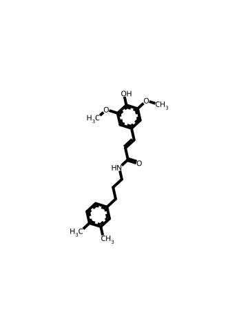 COc1cc(C=CC(=O)NCCCc2ccc(C)c(C)c2)cc(OC)c1O